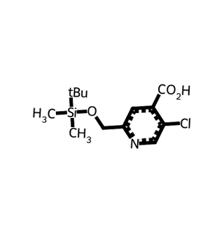 CC(C)(C)[Si](C)(C)OCc1cc(C(=O)O)c(Cl)cn1